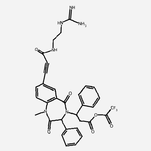 CN1C(=O)C(c2ccccc2)N(C(CC(=O)OC(=O)C(F)(F)F)c2ccccc2)C(=O)c2cc(C#CC(=O)NCCNC(=N)N)ccc21